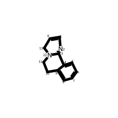 C1=CN=C2c3ccccc3CCN2C1